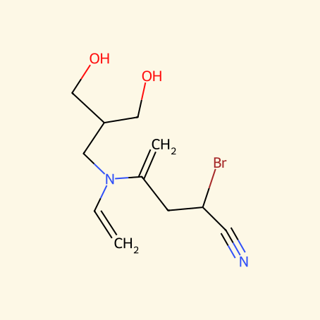 C=CN(CC(CO)CO)C(=C)CC(Br)C#N